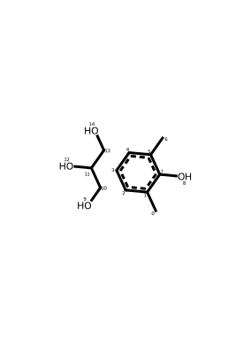 Cc1cccc(C)c1O.OCC(O)CO